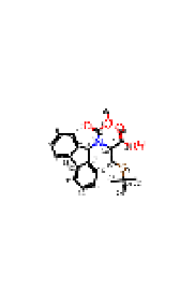 COC(=O)N(C1c2ccccc2-c2ccccc21)[C@H](CSC(C)(C)C)C(=O)O